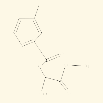 CCC(C)OC(=O)C(NC(=O)c1cccc(C)c1)C(=O)O